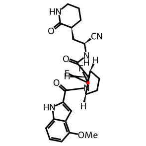 COc1cccc2[nH]c(C(=O)N3[C@H]4CC[C@@H]([C@H]3C(=O)N[C@H](C#N)C[C@@H]3CCCNC3=O)C(F)(F)C4)cc12